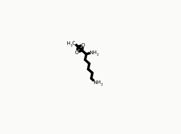 CC12OC1(C(N)CCCCCN)O2